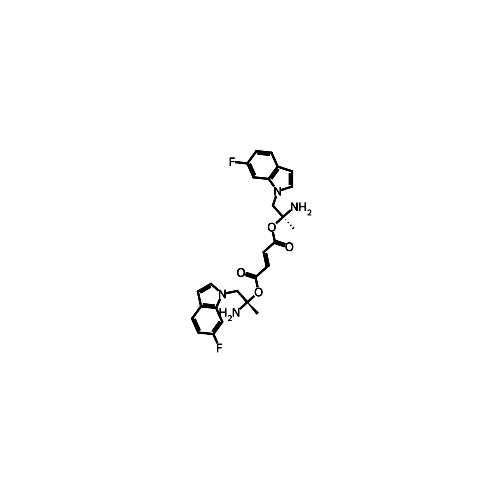 C[C@@](N)(Cn1ccc2ccc(F)cc21)OC(=O)/C=C/C(=O)O[C@](C)(N)Cn1ccc2ccc(F)cc21